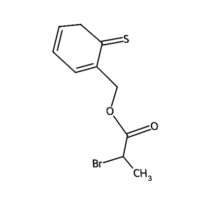 CC(Br)C(=O)OCC1=CC=CCC1=S